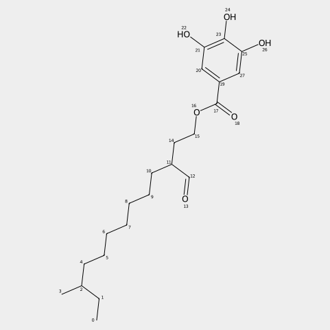 CCC(C)CCCCCCCC(C=O)CCOC(=O)c1cc(O)c(O)c(O)c1